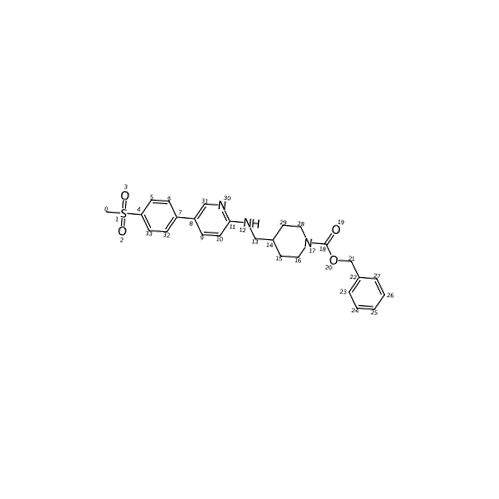 CS(=O)(=O)c1ccc(-c2ccc(NCC3CCN(C(=O)OCc4ccccc4)CC3)nc2)cc1